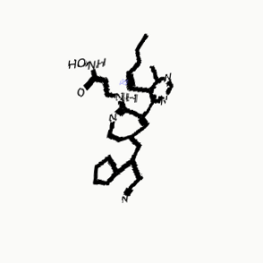 CCC/C=C\c1c(C)ncnc1C1=CC(CC(CC#N)C2CCCC2)CCN=C1NCCC(=O)NO